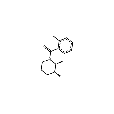 Cc1ccccc1C(=O)N1CCC[C@H](I)[C@@H]1I